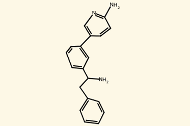 Nc1ccc(-c2cccc(C(N)Cc3ccccc3)c2)cn1